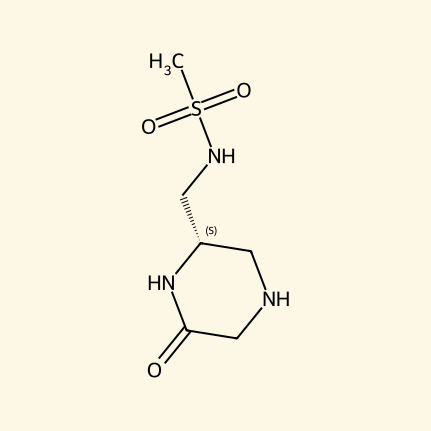 CS(=O)(=O)NC[C@@H]1CNCC(=O)N1